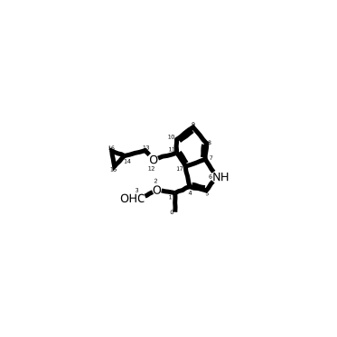 CC(OC=O)c1c[nH]c2cccc(OCC3CC3)c12